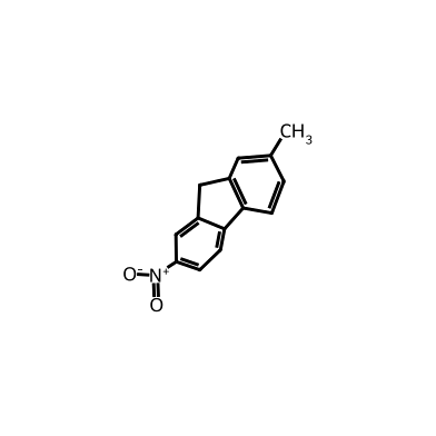 Cc1ccc2c(c1)Cc1cc([N+](=O)[O-])ccc1-2